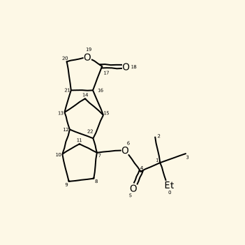 CCC(C)(C)C(=O)OC12CCC(C1)C1C3CC(C4C(=O)OCC34)C12